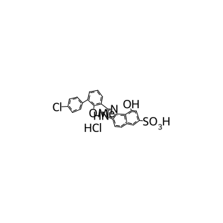 COc1c(-c2ccc(Cl)cc2)cccc1-c1nc2c(ccc3cc(S(=O)(=O)O)cc(O)c32)[nH]1.Cl